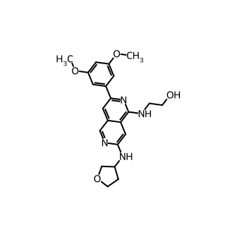 COc1cc(OC)cc(-c2cc3cnc(NC4CCOC4)cc3c(NCCO)n2)c1